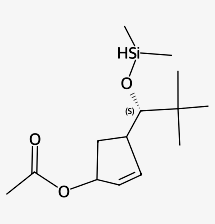 CC(=O)OC1C=CC([C@H](O[SiH](C)C)C(C)(C)C)C1